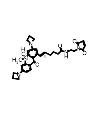 C[Si]1(C)c2cc(N3CCC3)ccc2C(=O)c2c(/C=C/CCCC(=O)NCCN3C(=O)C=CC3=O)cc(N3CCC3)cc21